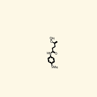 C=C(CCC(=O)Nc1ccc(SC)cc1)OO